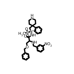 CS(=O)(=O)[N+]1(NC(=O)C(COCc2ccccc2)NCc2cccc([N+](=O)[O-])c2)CC2(CCNCC2)c2ccccc21